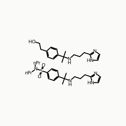 CC(C)(NCCCc1ncc[nH]1)c1ccc(CCO)cc1.CCCN(CCC)S(=O)(=O)c1ccc(C(C)(C)NCCCc2ncc[nH]2)cc1